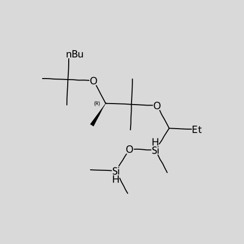 CCCCC(C)(C)O[C@H](C)C(C)(C)OC(CC)[SiH](C)O[SiH](C)C